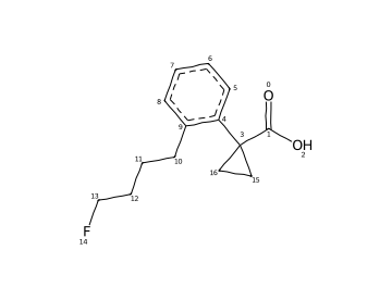 O=C(O)C1(c2ccccc2CCCCF)CC1